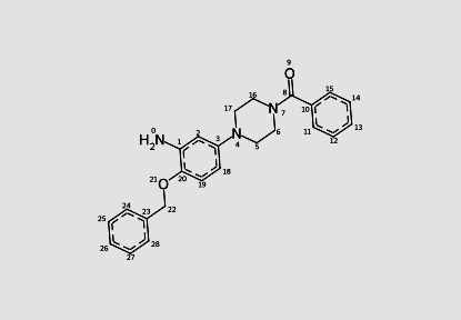 Nc1cc(N2CCN(C(=O)c3ccccc3)CC2)ccc1OCc1ccccc1